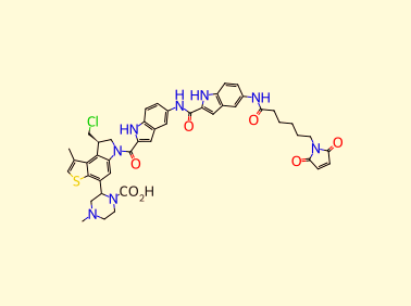 Cc1csc2c(C3CN(C)CCN3C(=O)O)cc3c(c12)[C@@H](CCl)CN3C(=O)c1cc2cc(NC(=O)c3cc4cc(NC(=O)CCCCCN5C(=O)C=CC5=O)ccc4[nH]3)ccc2[nH]1